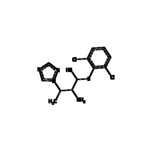 CC(C(N)C(S)Sc1c(Cl)cccc1Cl)n1cncn1